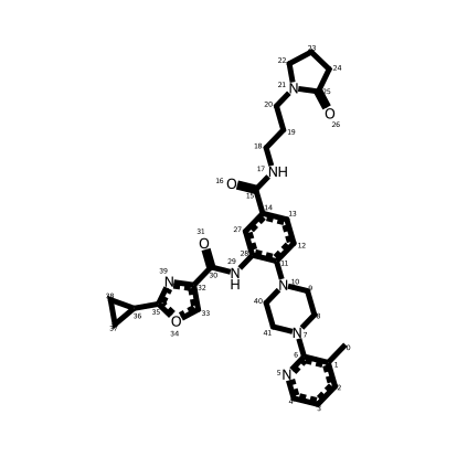 Cc1cccnc1N1CCN(c2ccc(C(=O)NCCCN3CCCC3=O)cc2NC(=O)c2coc(C3CC3)n2)CC1